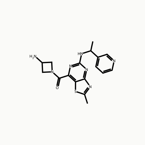 Cc1nc2nc(NC(C)c3cccnc3)nc(C(=O)N3CC(N)C3)c2s1